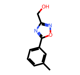 Cc1cccc(-c2nc(CO)no2)c1